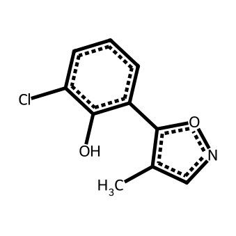 Cc1cnoc1-c1cccc(Cl)c1O